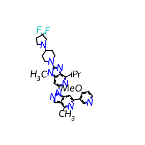 COc1ccncc1-c1cc2c(cnn2-c2cc3c(nc(N4CCC(N5CCC(F)(F)C5)CC4)n3C)c(C(C)C)n2)c(C)n1